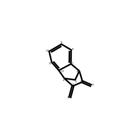 C=C1C(=C)C2CC1c1ccccc12